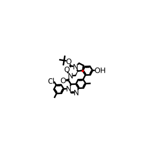 Cc1cc(Cl)cc(N2C=Nc3cc(C)c(-c4cccc(O)c4)cc3C2C(=O)N(C)C[C@@H]2CCCN2C(=O)OC(C)(C)C)c1